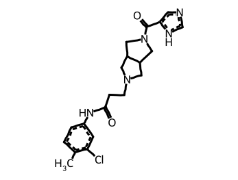 Cc1ccc(NC(=O)CCN2CC3CN(C(=O)c4cnc[nH]4)CC3C2)cc1Cl